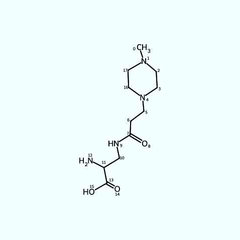 CN1CCN(CCC(=O)NCC(N)C(=O)O)CC1